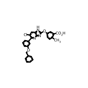 Cc1ccc(Oc2nc3nc(-c4cccc(OCc5ccccc5)c4)c(Cl)cc3[nH]2)cc1C(=O)O